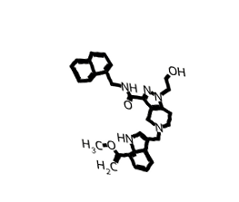 C=C(OC)c1cccc2c(CN3CCc4c(c(C(=O)NCc5cccc6ccccc56)nn4CCO)C3)c[nH]c12